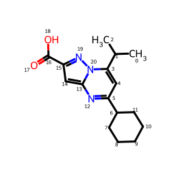 CC(C)c1cc(C2CCCCC2)nc2cc(C(=O)O)nn12